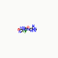 COc1cc(N2NCC(C(=O)Nc3cnc(-n4nccn4)c(C#N)c3)=C2C(F)(F)F)ccn1